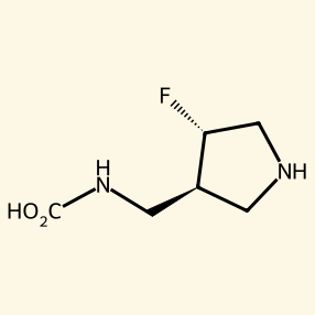 O=C(O)NC[C@@H]1CNC[C@H]1F